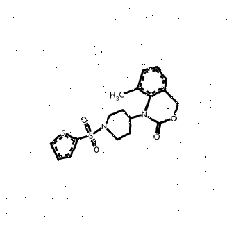 Cc1cccc2c1N(C1CCN(S(=O)(=O)c3cccs3)CC1)C(=O)OC2